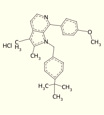 COc1ccc(-c2nccc3c(C)c(C)n(Cc4ccc(C(C)(C)C)cc4)c23)cc1.Cl